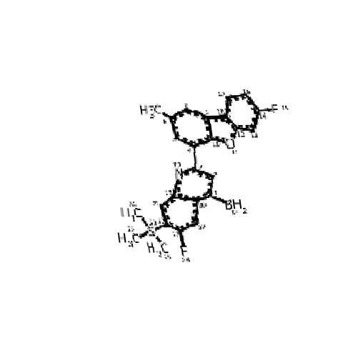 Bc1cc(-c2cc(C)cc3c2oc2cc(F)ccc23)nc2cc(S(C)(C)C)c(F)cc12